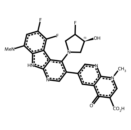 CNc1cc(F)c(F)c2c1[nH]c1ncc(-c3cnc4c(c3)c(=O)c(C(=O)O)cn4C)c(N3CC(F)[C@@H](O)C3)c12